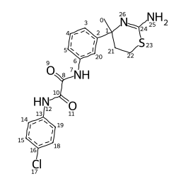 CC1(c2cccc(NC(=O)C(=O)Nc3ccc(Cl)cc3)c2)CCSC(N)=N1